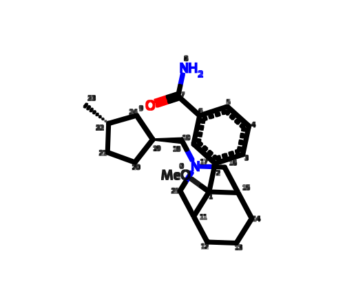 COC1(c2cccc(C(N)=O)c2)C2CCCC1CN(C[C@H]1CC[C@H](C)C1)C2